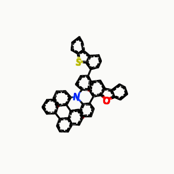 c1ccc(-c2cccc3cccc(-c4ccccc4N(c4ccc(-c5cccc6c5sc5ccccc56)cc4)c4ccccc4-c4cccc5c4oc4ccccc45)c23)cc1